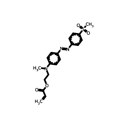 C=CC(=O)OCCN(C)c1ccc(/N=N/c2ccc(S(C)(=O)=O)cc2)cc1